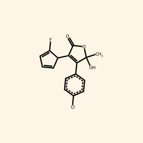 CC1(O)OC(=O)C(C2C=CC=C2F)=C1c1ccc(Cl)cc1